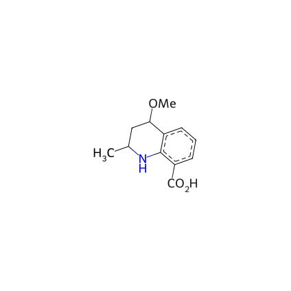 COC1CC(C)Nc2c(C(=O)O)cccc21